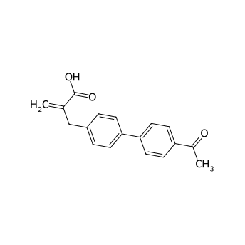 C=C(Cc1ccc(-c2ccc(C(C)=O)cc2)cc1)C(=O)O